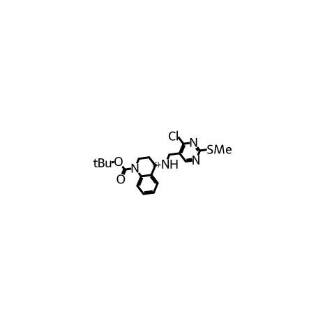 CSc1ncc(CN[C@H]2CCN(C(=O)OC(C)(C)C)c3ccccc32)c(Cl)n1